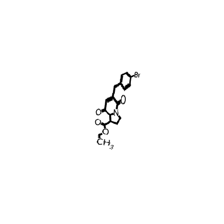 CCOC(=O)C1CCN2C(=O)C(Cc3ccc(Br)cc3)=CC(=O)C12